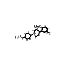 CCON=C1CCC(N2CCC(c3cc(Cl)ccc3OC)CC2)CC1